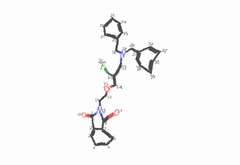 O=C1c2ccccc2C(=O)N1CCOCC(F)CN(Cc1ccccc1)Cc1ccccc1